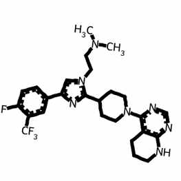 CN(C)CCn1cc(-c2ccc(F)c(C(F)(F)F)c2)nc1C1CCN(c2ncnc3c2CCCN3)CC1